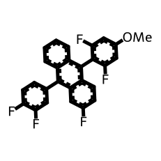 COc1cc(F)c(-c2c3ccccc3c(-c3ccc(F)c(F)c3)c3cc(F)ccc23)c(F)c1